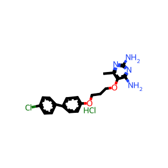 Cc1nc(N)nc(N)c1OCCCOc1ccc(-c2ccc(Cl)cc2)cc1.Cl